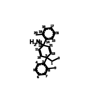 CCC1(c2ccccc2C)C=CC(N)(c2ccccc2C)C=C1